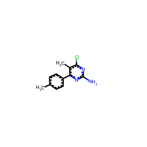 Cc1ccc(-c2nc(N)nc(Cl)c2C)cc1